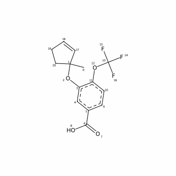 CC1(Oc2cc(C(=O)O)ccc2OC(F)(F)F)C=CCC1